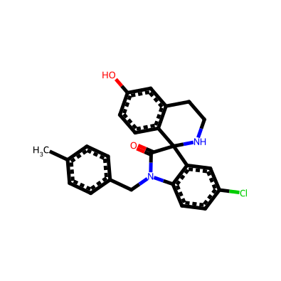 Cc1ccc(CN2C(=O)C3(NCCc4cc(O)ccc43)c3cc(Cl)ccc32)cc1